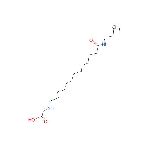 CCCNC(=O)CCCCCCCCCCCCNCC(=O)O